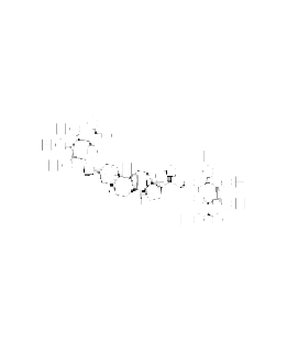 C[C@]12CC[C@H](OC3O[C@H](C(=O)O)[C@@H](O)[C@H](O)[C@H]3O)C[C@H]1CC[C@@H]1[C@@H]2CC[C@]2(C)[C@@H](C(=O)COC3O[C@H](C(=O)O)[C@@H](O)[C@H](O)[C@H]3O)CC[C@@H]12